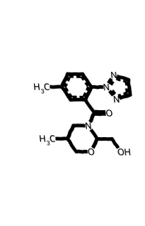 Cc1ccc(-n2nccn2)c(C(=O)N2CC(C)COC2CO)c1